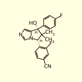 CC1(C)[C@H](c2ccc(C#N)cc2F)n2cncc2[C@@]1(O)c1ccc(F)cc1